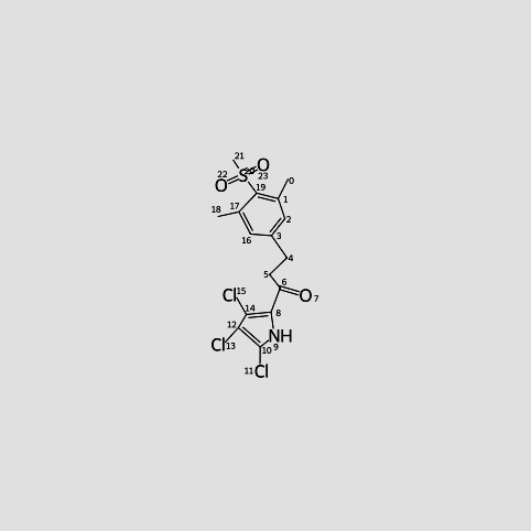 Cc1cc(CCC(=O)c2[nH]c(Cl)c(Cl)c2Cl)cc(C)c1S(C)(=O)=O